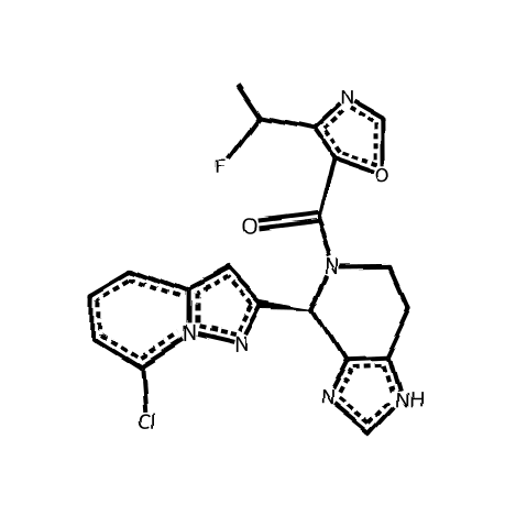 CC(F)c1ncoc1C(=O)N1CCc2[nH]cnc2[C@H]1c1cc2cccc(Cl)n2n1